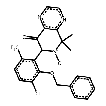 CC1(C)c2nccnc2C(=O)C(c2c(C(F)(F)F)ccc(Cl)c2OCc2ccccc2)[S+]1[O-]